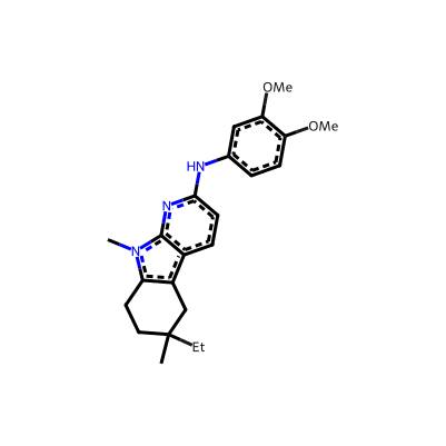 CCC1(C)CCc2c(c3ccc(Nc4ccc(OC)c(OC)c4)nc3n2C)C1